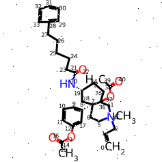 C=CC[N@@+]1(C)CC[C@@]2(c3cccc(OC(C)=O)c3)C[C@H](NC(=O)CCCCCc3ccccc3)CCC2(OC(C)=O)C1